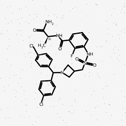 C[C@H](NC(=O)c1cccc(NS(=O)(=O)CC2CN(C(c3ccc(Cl)cc3)c3ccc(Cl)cc3)C2)c1F)C(N)=O